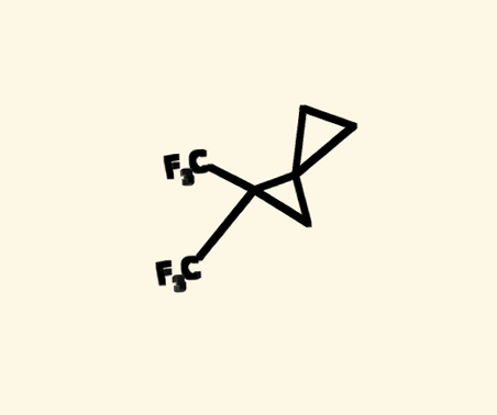 FC(F)(F)C1(C(F)(F)F)CC12CC2